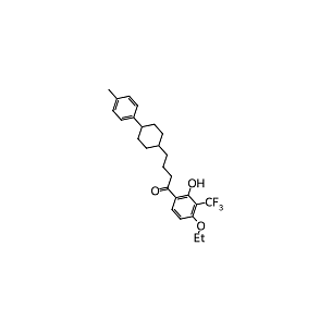 CCOc1ccc(C(=O)CCCC2CCC(c3ccc(C)cc3)CC2)c(O)c1C(F)(F)F